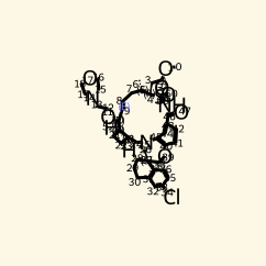 COCC[C@@H]1[C@@H](C)C/C=C/[C@H](OCCN2CCOCC2)[C@@H]2CC[C@H]2CN2C[C@@]3(CCCc4cc(Cl)ccc43)COc3ccc(cc32)C(=O)NS1(=O)=O